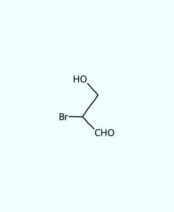 O=CC(Br)CO